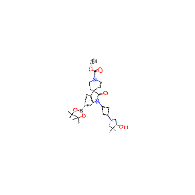 CC(C)(C)OC(=O)N1CCC2(CC1)C(=O)N(C1CC(N3CC(O)C(C)(C)C3)C1)c1cc(B3OC(C)(C)C(C)(C)O3)ccc12